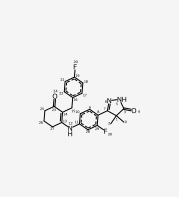 CC1(C)C(=O)NN=C1c1ccc(NC2=C(Cc3ccc(F)cc3)C(=O)CCC2)cc1F